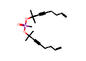 C=CCCC#CC(C)(C)OP(C)(=O)OC(C)(C)C#CCCC=C